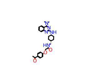 CC(=O)c1ccc(OCC(=O)NC[C@H]2CC[C@@H](Nc3nc(N(C)C)c4ccccc4n3)CC2)cc1